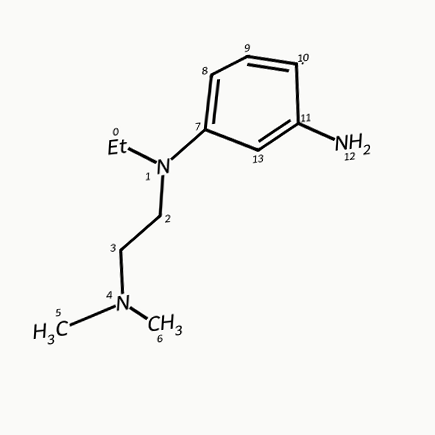 CCN(CCN(C)C)c1cc[c]c(N)c1